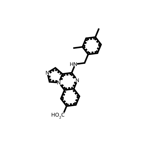 Cc1ccc(CNc2nc3ccc(C(=O)O)cc3n3cncc23)c(C)c1